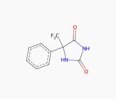 O=C1NC(=O)C(c2ccccc2)(C(F)(F)F)N1